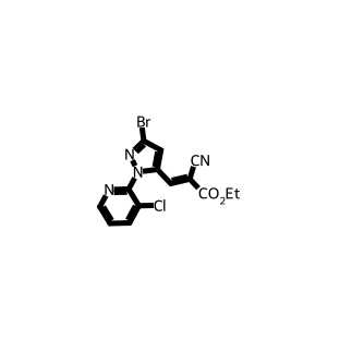 CCOC(=O)/C(C#N)=C/c1cc(Br)nn1-c1ncccc1Cl